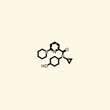 O=C(c1cccc(N2CCCCC2)n1)N(C1CCC(O)CC1)C1CC1